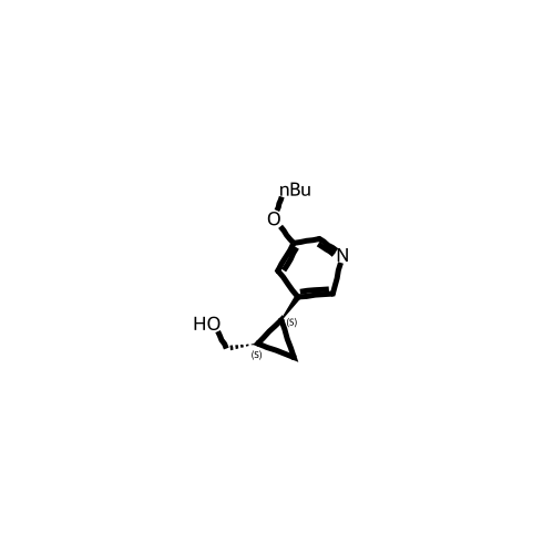 CCCCOc1cncc([C@H]2C[C@@H]2CO)c1